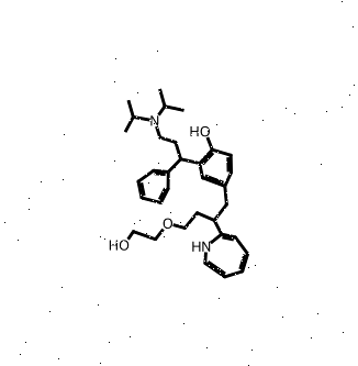 CC(C)N(CCC(c1ccccc1)c1cc(CC(CCOCCO)C2=CC=CC=CN2)ccc1O)C(C)C